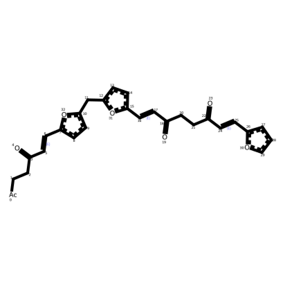 CC(=O)CCC(=O)/C=C/c1ccc(Cc2ccc(/C=C/C(=O)CCC(=O)/C=C/c3ccco3)o2)o1